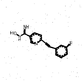 N=C(NO)c1ccc(C#Cc2cccc(F)c2)nc1